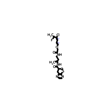 C=C(CCNC(=O)CO/C=C/C=C(/Cl)C(=C)F)NC(=O)C1Cc2nccnc2SO1